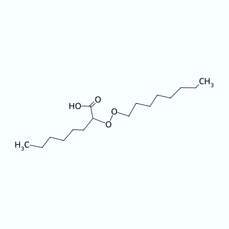 CCCCCCCCOOC(CCCCCC)C(=O)O